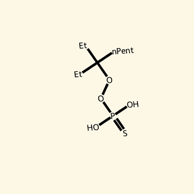 CCCCCC(CC)(CC)OOP(O)(O)=S